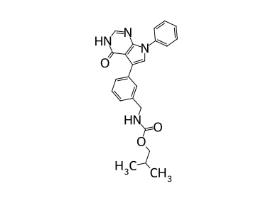 CC(C)COC(=O)NCc1cccc(-c2cn(-c3ccccc3)c3nc[nH]c(=O)c23)c1